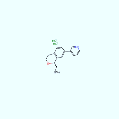 CNC[C@H]1OCCc2ccc(-c3cccnc3)cc21.Cl.Cl